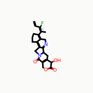 C=C/C(F)=C(/C)C1=C2CN=C3C(=C2CCC1)CN1C(=O)C2=C(CC31)C(O)C(=O)OC2